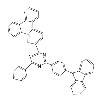 c1ccc(-c2nc(-c3ccc(-n4c5ccccc5c5ccccc54)cc3)nc(-c3ccc4c5ccccc5c5ccccc5c4c3)n2)cc1